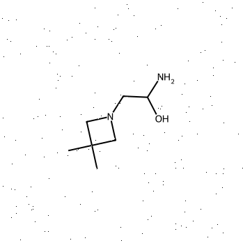 CC1(C)CN(CC(N)O)C1